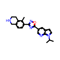 Cc1c(-c2noc(-c3cnc4c(ccn4C(C)C)c3)n2)ccc2c1CCNC2